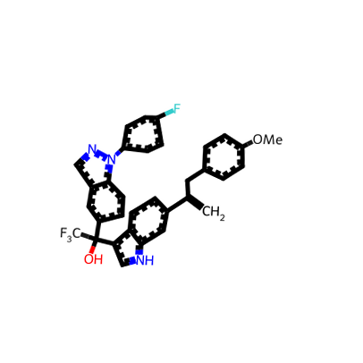 C=C(Cc1ccc(OC)cc1)c1ccc2c(C(O)(c3ccc4c(cnn4-c4ccc(F)cc4)c3)C(F)(F)F)c[nH]c2c1